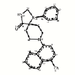 N#Cc1ccc(N2CCC3(CC2)C(=O)NCN3c2ccccc2)c2ccccc12